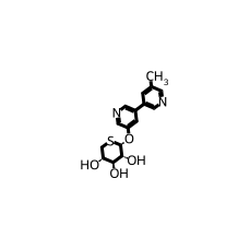 Cc1cncc(-c2cncc(O[C@H]3SC[C@@H](O)[C@H](O)[C@H]3O)c2)c1